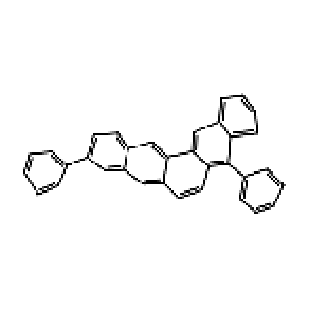 c1ccc(-c2ccc3cc4c(ccc5c(-c6ccccc6)c6ccccc6cc54)cc3c2)cc1